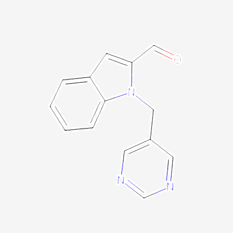 O=Cc1cc2ccccc2n1Cc1cncnc1